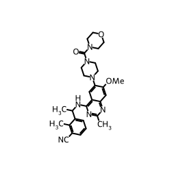 COc1cc2nc(C)nc(NC(C)c3cccc(C#N)c3C)c2cc1N1CCN(C(=O)N2CCOCC2)CC1